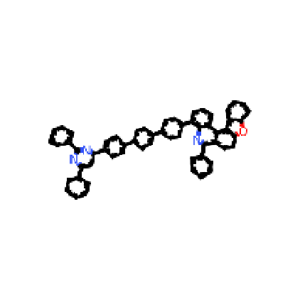 c1ccc(-c2cc(-c3ccc(-c4ccc(-c5ccc(-c6cccc7c6nc(-c6ccccc6)c6ccc8oc9ccccc9c8c67)cc5)cc4)cc3)nc(-c3ccccc3)n2)cc1